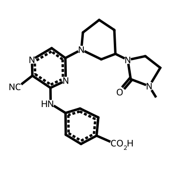 CN1CCN(C2CCCN(c3cnc(C#N)c(Nc4ccc(C(=O)O)cc4)n3)C2)C1=O